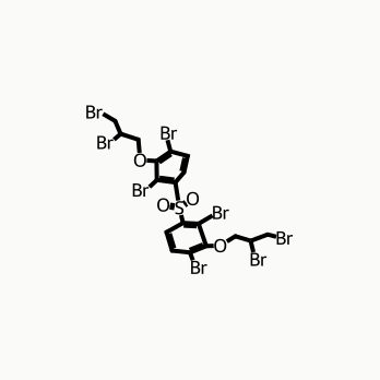 O=S(=O)(c1ccc(Br)c(OCC(Br)CBr)c1Br)c1ccc(Br)c(OCC(Br)CBr)c1Br